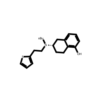 CCCCN(CCc1cccs1)[C@H]1CCc2c(O)cccc2C1